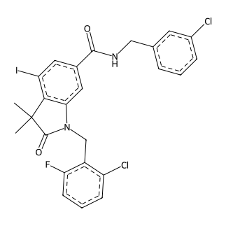 CC1(C)C(=O)N(Cc2c(F)cccc2Cl)c2cc(C(=O)NCc3cccc(Cl)c3)cc(I)c21